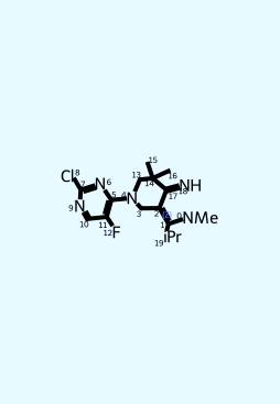 CN/C(=C1/CN(c2nc(Cl)ncc2F)CC(C)(C)C1=N)C(C)C